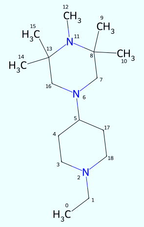 CCN1CCC(N2CC(C)(C)N(C)C(C)(C)C2)CC1